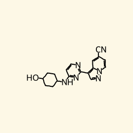 N#Cc1ccn2ncc(-c3nccc(NC4CCC(O)CC4)n3)c2c1